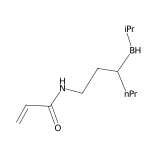 C=CC(=O)NCCC(BC(C)C)CCC